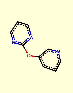 [c]1ccc(Oc2ncccn2)cn1